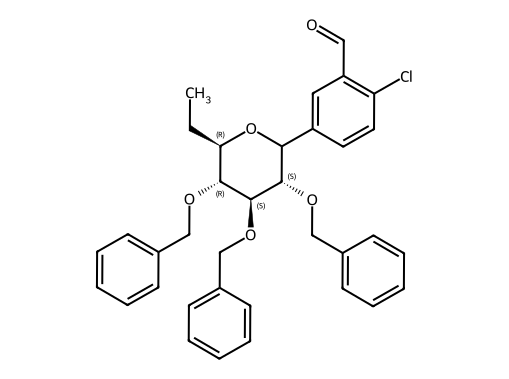 CC[C@H]1OC(c2ccc(Cl)c(C=O)c2)[C@H](OCc2ccccc2)[C@@H](OCc2ccccc2)[C@@H]1OCc1ccccc1